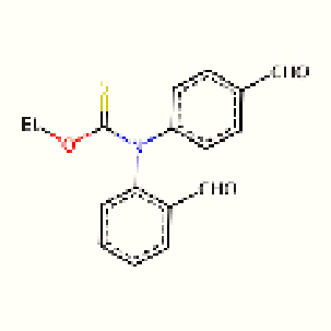 CCOC(=S)N(c1ccc(C=O)cc1)c1ccccc1C=O